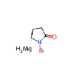 O=C1CCCN1Br.[MgH2]